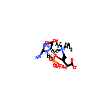 CN(CC(=O)O)C(=N)N.C[N+](C)(C)CC(CC(=O)[O-])OP(=O)(O)O